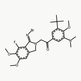 COc1cc2c(c(F)c1OC)/C(=N/Br)N(CC(=O)c1cc(N(C)C)c(OC)c(C(C)(C)C)c1)C2